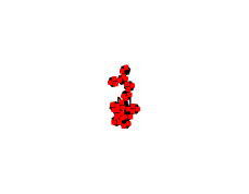 c1ccc(-c2cc(-c3ccccc3)cc(-c3cccc(-c4ccc(-c5nc(-c6ccccc6)nc(-n6c7ccccc7c7ccc8c(c76)-c6ccccc6C86c7ccccc7-c7ccccc76)n5)cc4)c3)c2)cc1